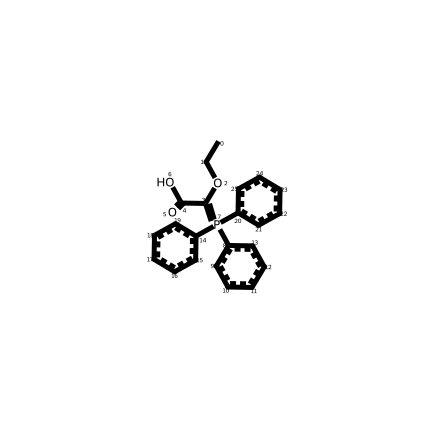 CCOC(C(=O)O)=P(c1ccccc1)(c1ccccc1)c1ccccc1